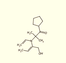 C=CN(/C(=C\C)CO)C(C)(C)C(=O)C1CCCC1